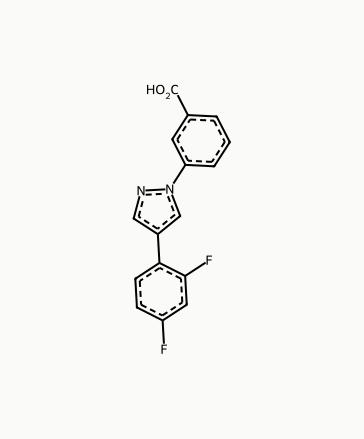 O=C(O)c1cccc(-n2cc(-c3ccc(F)cc3F)cn2)c1